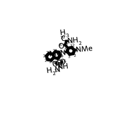 CNc1ccc(NC)c(C(=O)[C@H](C)N)c1.NNS(=O)(=O)c1cccc2ccccc12